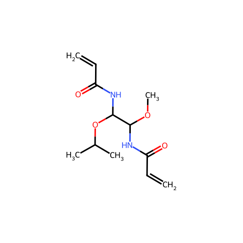 C=CC(=O)NC(OC)C(NC(=O)C=C)OC(C)C